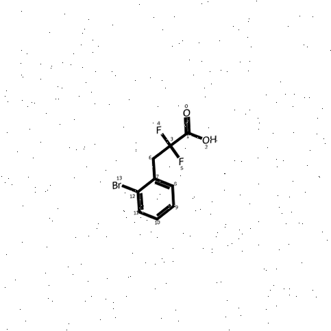 O=C(O)C(F)(F)Cc1ccccc1Br